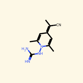 CC1=CC(=C(C)C#N)C=C(C)N1NC(=N)N